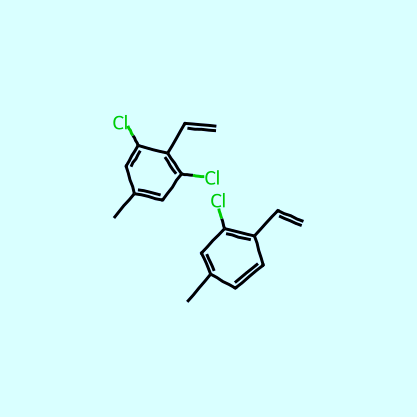 C=Cc1c(Cl)cc(C)cc1Cl.C=Cc1ccc(C)cc1Cl